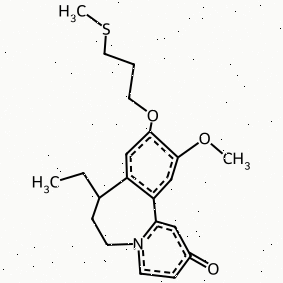 CCC1CCn2ccc(=O)cc2-c2cc(OC)c(OCCCSC)cc21